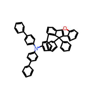 c1ccc(-c2ccc(N(c3ccc(-c4ccccc4)cc3)c3cccc(-c4cccc5c4C(c4ccccc4)(c4ccccc4)c4c-5oc5ccccc45)c3)cc2)cc1